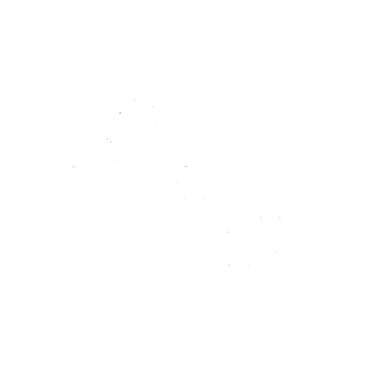 O=C(O)c1cc2c(C3CCCCC3N3CCOCC3)cccc2n1CCCOc1cccc2ccccc12